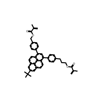 C=C(C)C(=O)OCCCc1ccc(-c2cc(-c3ccc(COC(=O)C(=C)C)cc3)c3ccc4cc(C(C)(C)C)cc5ccc2c3c54)cc1